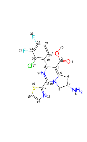 COC(=O)C1=C2C[C@H](N)CN2C(c2nccs2)=N[C@@H]1c1ccc(F)c(F)c1Cl